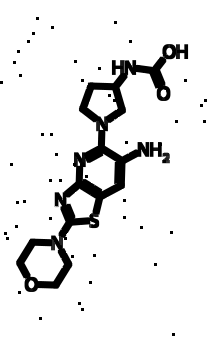 Nc1cc2sc(N3CCOCC3)nc2nc1N1CCC(NC(=O)O)C1